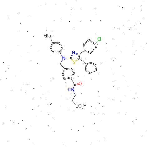 CC(C)(C)c1ccc(N(Cc2ccc(C(=O)NCCC(=O)O)cc2)c2nc(-c3ccc(Cl)cc3)c(-c3ccccc3)s2)cc1